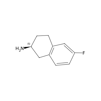 N[C@H]1CCc2cc(F)ccc2C1